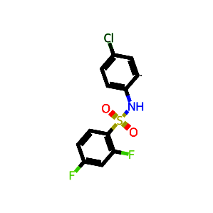 O=S(=O)(Nc1[c]cc(Cl)cc1)c1ccc(F)cc1F